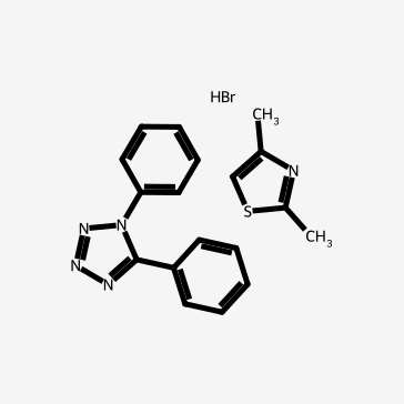 Br.Cc1csc(C)n1.c1ccc(-c2nnnn2-c2ccccc2)cc1